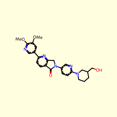 COc1cc(-c2ccc3c(n2)CN(c2ccc(N4CCCC(CO)C4)nc2)C3=O)cnc1OC